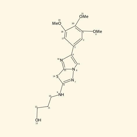 COc1cc(-c2cn3nc(NCCCO)sc3n2)cc(OC)c1OC